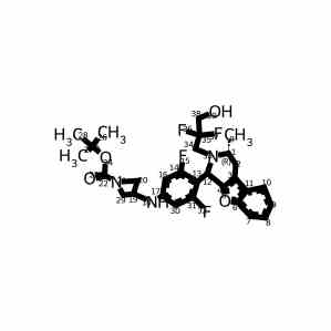 C[C@@H]1Cc2c(oc3ccccc23)C(c2c(F)cc(NC3CN(C(=O)OC(C)(C)C)C3)cc2F)N1CC(F)(F)CO